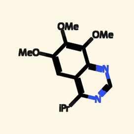 COc1cc2c(C(C)C)ncnc2c(OC)c1OC